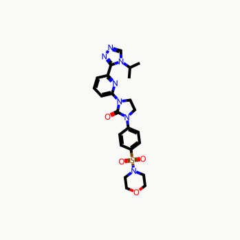 CC(C)n1cnnc1-c1cccc(N2CCN(c3ccc(S(=O)(=O)N4CCOCC4)cc3)C2=O)n1